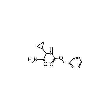 NC(=O)C(NC(=O)OCc1ccccc1)C1CC1